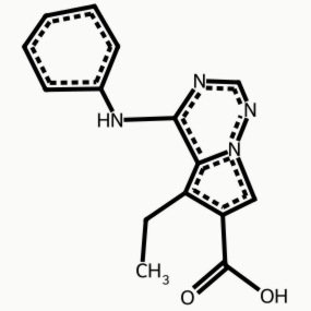 CCc1c(C(=O)O)cn2ncnc(Nc3ccccc3)c12